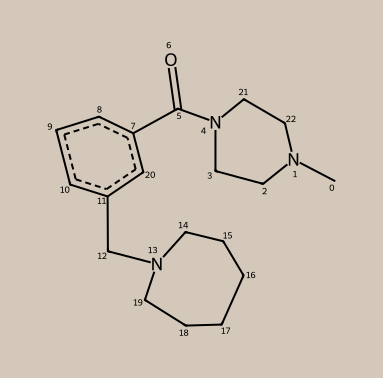 CN1CCN(C(=O)c2cccc(CN3CCCCCC3)c2)CC1